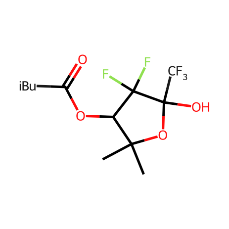 CCC(C)C(=O)OC1C(C)(C)OC(O)(C(F)(F)F)C1(F)F